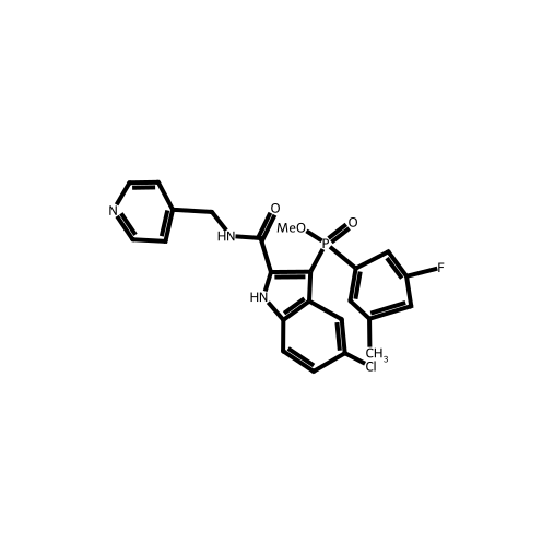 COP(=O)(c1cc(C)cc(F)c1)c1c(C(=O)NCc2ccncc2)[nH]c2ccc(Cl)cc12